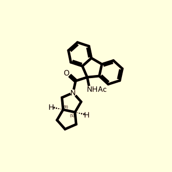 CC(=O)NC1(C(=O)N2C[C@H]3CCC[C@H]3C2)c2ccccc2-c2ccccc21